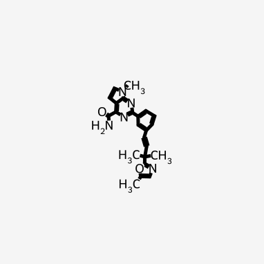 Cc1cnc(C(C)(C)C#Cc2cccc(-c3nc(C(N)=O)c4ccn(C)c4n3)c2)o1